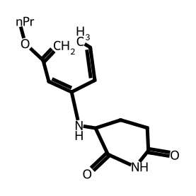 C=C(/C=C(\C=C/C)NC1CCC(=O)NC1=O)OCCC